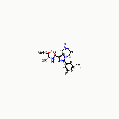 CNC(=O)[C@@H](NC(=O)c1nc(-c2cc(F)cc(C(F)(F)F)c2)n2c1CN(C)CCC2)C(C)(C)C